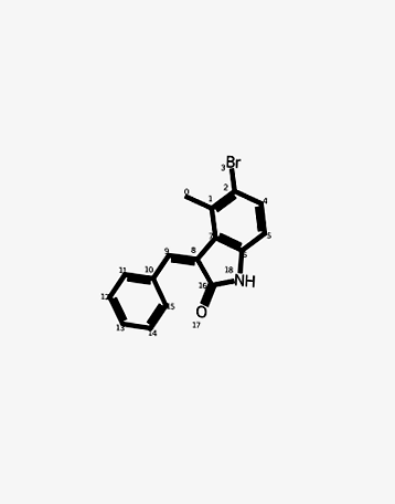 Cc1c(Br)ccc2c1C(=Cc1ccccc1)C(=O)N2